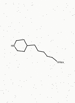 [CH2]CCCCCCCCCCC1CCNCC1